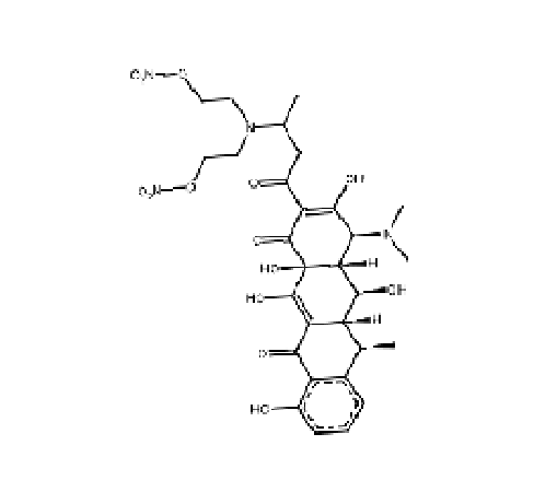 CC(CC(=O)C1=C(O)[C@@H](N(C)C)[C@@H]2[C@@H](O)[C@H]3C(=C(O)[C@]2(O)C1=O)C(=O)c1c(O)cccc1[C@@H]3C)N(CCO[N+](=O)[O-])CCO[N+](=O)[O-]